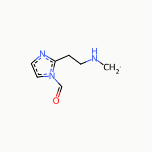 [CH2]NCCc1nccn1C=O